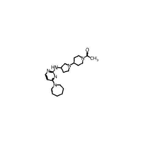 CC(=O)N1CCC(N2CCC(Nc3nccc(N4CCCCCC4)n3)C2)CC1